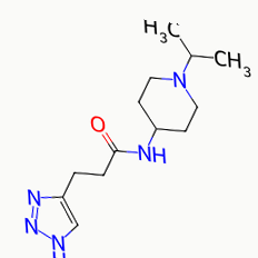 CC(C)N1CCC(NC(=O)CCc2c[nH]nn2)CC1